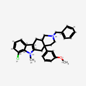 COc1cccc(C23CCN(Cc4ccccc4)CC2Cc2c(n(C)c4c(Cl)cccc24)C3)c1